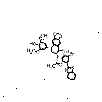 COc1cc([C@H]2C[C@H](COC(C)=O)[C@H](Nc3ccc(-c4nc5ccccc5s4)cc3Br)c3cc4c(cc32)OCO4)cc(OC)c1O